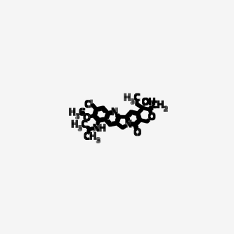 C=C1OCc2c(cc3n(c2=O)Cc2cc4c(NC(C)C)c(OC)c(Cl)cc4nc2-3)[C@@]1(O)CC